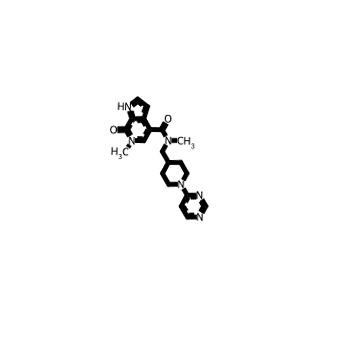 CN(CC1CCN(c2ccncn2)CC1)C(=O)c1cn(C)c(=O)c2[nH]ccc12